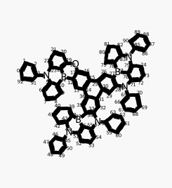 c1ccc(N2c3ccccc3B3c4cc5c(cc4Oc4cccc2c43)c2cc3c(cc2c2cc4c(cc52)B2c5ccccc5N(c5ccccc5)c5cccc(c52)N4c2ccccc2)N(c2ccccc2)c2cccc4c2B3c2ccccc2N4c2ccccc2)cc1